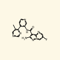 Cc1cncnc1-c1ccncc1NC(=O)c1c(N)nn2cc(F)cnc12